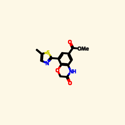 COC(=O)c1cc2c(c(-c3ncc(C)s3)c1)OCC(=O)N2